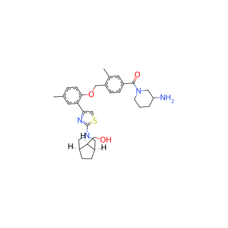 Cc1ccc(OCc2ccc(C(=O)N3CCCC(N)C3)cc2C)c(-c2csc(N3C[C@H]4CC[C@@H](C3)[C@H]4CO)n2)c1